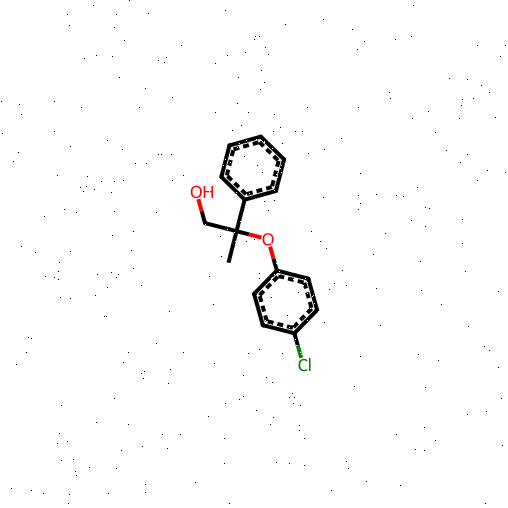 CC(CO)(Oc1ccc(Cl)cc1)c1ccccc1